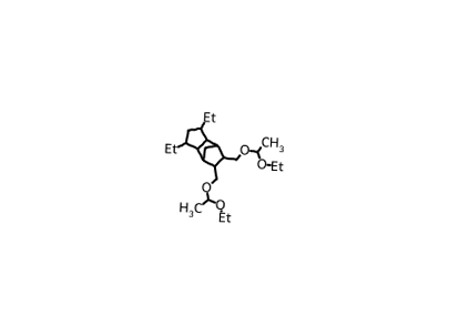 CCOC(C)OCC1C(COC(C)OCC)C2CC1C1C(CC)CC(CC)C21